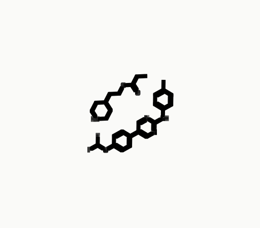 CCC(=O)OCCC1CCNCC1.Cc1ccc(Nc2ncc(-c3ccc(OC(F)F)cc3)cn2)cc1